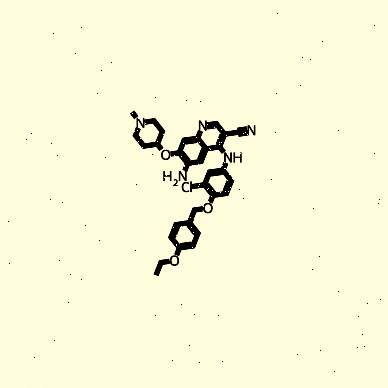 CCOc1ccc(COc2ccc(Nc3c(C#N)cnc4cc(OC5CCN(C)CC5)c(N)cc34)cc2Cl)cc1